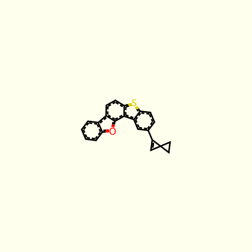 C1=C(c2ccc3sc4ccc5c6ccccc6oc5c4c3c2)C12CC2